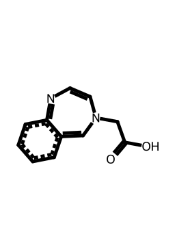 O=C(O)CN1C=CN=c2ccccc2=C1